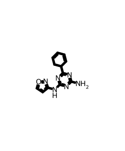 Nc1nc(Nc2ccon2)nc(C2C=CC=CC2)n1